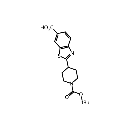 CC(C)(C)OC(=O)N1CCC(c2nc3ccc(C(=O)O)cc3s2)CC1